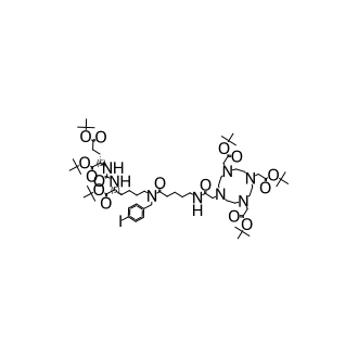 CC(C)(C)OC(=O)CC[C@H](NC(=O)N[C@@H](CCCCN(Cc1ccc(I)cc1)C(=O)CCCCNC(=O)CN1CCN(CC(=O)OC(C)(C)C)CCN(CC(=O)OC(C)(C)C)CCN(CC(=O)OC(C)(C)C)CC1)C(=O)OC(C)(C)C)C(=O)OC(C)(C)C